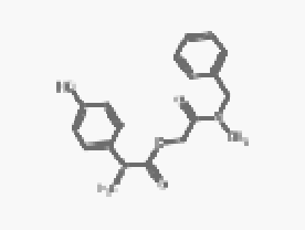 C[C@H](C(=O)OCC(=O)N(C)Cc1ccccc1)c1ccc(O)cc1